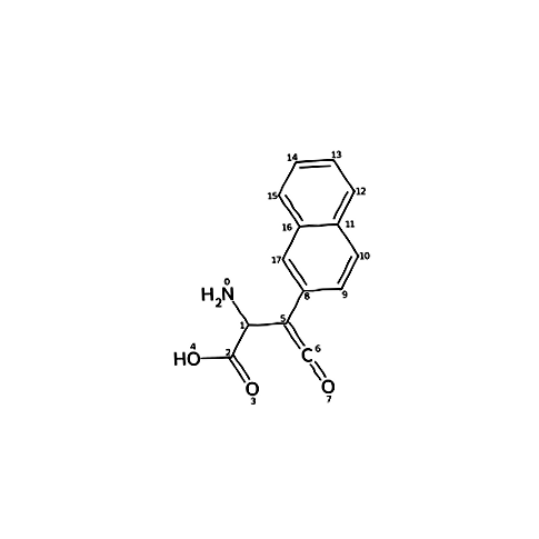 NC(C(=O)O)C(=C=O)c1ccc2ccccc2c1